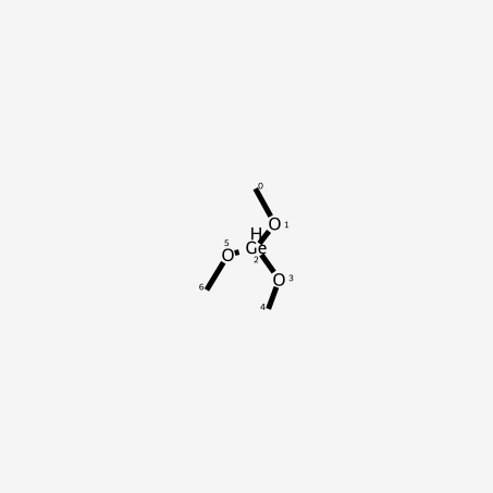 C[O][GeH]([O]C)[O]C